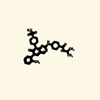 Cc1ccccc1-c1cc2cnc(NC3CCN(C(=O)NC(C)C)CC3)nc2n(C2CCN(S(C)(=O)=O)CC2)c1=O